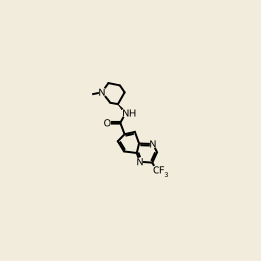 CN1CCC[C@@H](NC(=O)c2ccc3nc(C(F)(F)F)cnc3c2)C1